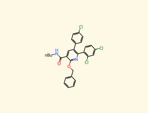 CCCCNC(=O)c1cc(-c2ccc(Cl)cc2)c(-c2ccc(Cl)cc2Cl)nc1OCc1ccccc1